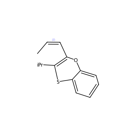 C/C=C\C1=C(C(C)C)Sc2ccccc2O1